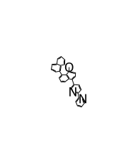 c1ccc(-c2ccc(-c3ccc4oc5cccc6cccc(c7cccc3c47)c65)cn2)nc1